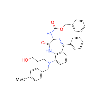 COc1ccc(CN(CCCO)c2cccc3c2NC(=O)C(NC(=O)OCc2ccccc2)N=C3c2ccccc2)cc1